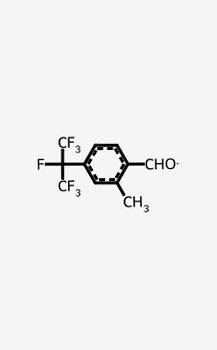 Cc1cc(C(F)(C(F)(F)F)C(F)(F)F)ccc1[C]=O